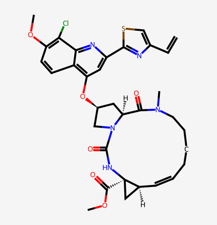 C=Cc1csc(-c2cc(O[C@H]3C[C@H]4C(=O)N(C)CCCC/C=C\[C@H]5C[C@@]5(C(=O)OC)NC(=O)N4C3)c3ccc(OC)c(Cl)c3n2)n1